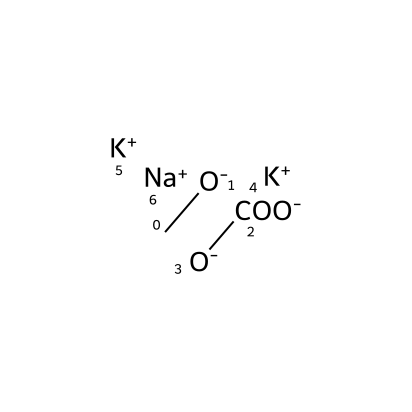 C[O-].O=C([O-])[O-].[K+].[K+].[Na+]